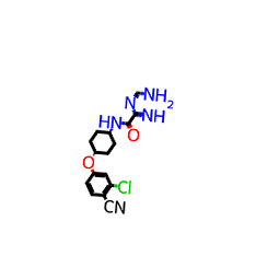 N#Cc1ccc(O[C@H]2CC[C@H](NC(=O)C(=N)/N=C\N)CC2)cc1Cl